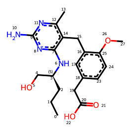 CCC[C@@H](CO)Nc1nc(N)nc(C)c1Cc1cc(CC(=O)O)ccc1OC